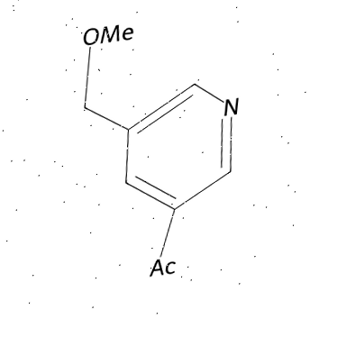 COCc1cncc(C(C)=O)c1